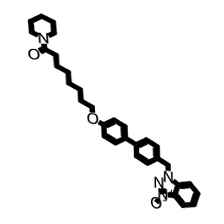 O=C(CCCCCCCOc1ccc(-c2ccc(Cn3n[n+]([O-])c4ccccc43)cc2)cc1)N1CCCCC1